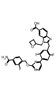 NC(=O)c1ccc(COc2nccc(-c3cc(F)c(Cc4nc5ccc(C(=O)O)cc5n4CC4CCO4)cc3F)n2)c(F)c1